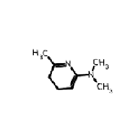 CC1=NC(N(C)C)=CCC1